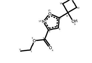 CCOC(=O)c1cc(C2(O)COC2)on1